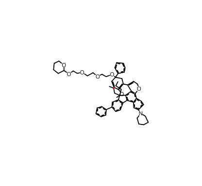 CCCC1(CCC)c2cc(-c3ccccc3)ccc2-c2c1c1c(c3ccc(N4CCCCC4)cc23)OCC=C1C1=C(OC)C=CC(OCCOCCOCCOC2CCCCO2)(c2ccccc2)C1